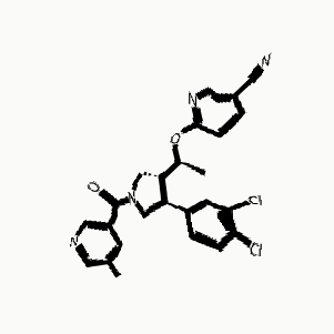 Cc1cncc(C(=O)N2C[C@H]([C@H](C)Oc3ccc(C#N)cn3)[C@@H](c3ccc(Cl)c(Cl)c3)C2)c1